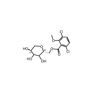 COc1c(Cl)ccc(Cl)c1C(=O)OC[C@H]1OC[C@H](O)C(O)C1O